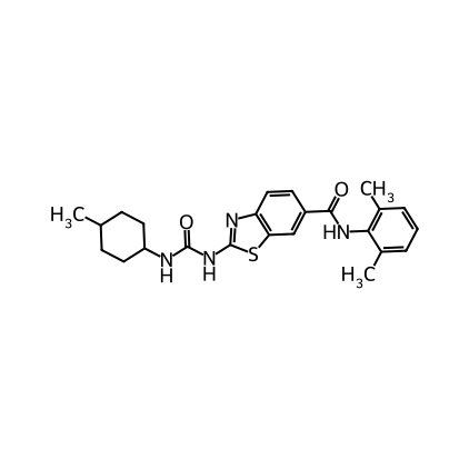 Cc1cccc(C)c1NC(=O)c1ccc2nc(NC(=O)NC3CCC(C)CC3)sc2c1